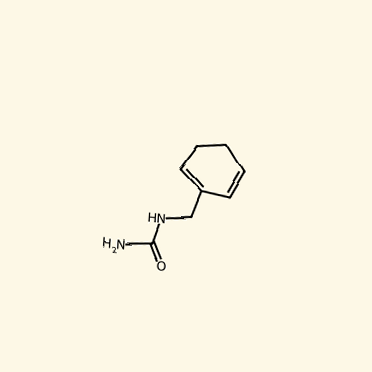 NC(=O)NCC1=CCCC=C1